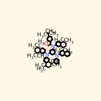 CC(C)(C)c1ccc2c3c(oc2c1)B1c2cc4c(cc2N(c2ccc5c(c2)C(C)(C)CCC5(C)C)c2cc(N(c5ccccc5)c5ccc6ccccc6c5)cc(c21)N3c1ccc2c(c1)C(C)(C)CCC2(C)C)C(C)(C)CCC4(C)C